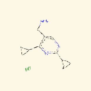 Cl.NCc1cnc(C2CC2)nc1C1CC1